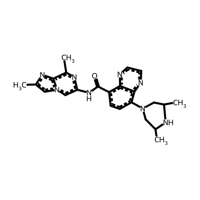 Cc1cn2cc(NC(=O)c3ccc(N4CC(C)NC(C)C4)c4nccnc34)nc(C)c2n1